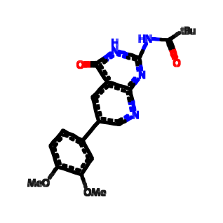 COc1ccc(-c2cnc3nc(NC(=O)C(C)(C)C)[nH]c(=O)c3c2)cc1OC